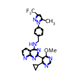 COc1ncnc(C2CC2)c1-c1nc(NCc2ccc(-n3nc(C(F)(F)F)cc3C)cc2)c2cccnc2n1